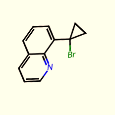 BrC1(c2cccc3cccnc23)CC1